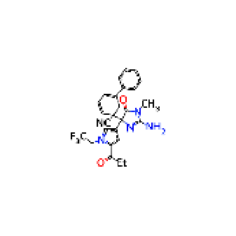 CCC(=O)c1cc(C2(C3(C#N)C=CC=C(c4ccccc4)C3)N=C(N)N(C)C2=O)cn1CC(F)(F)F